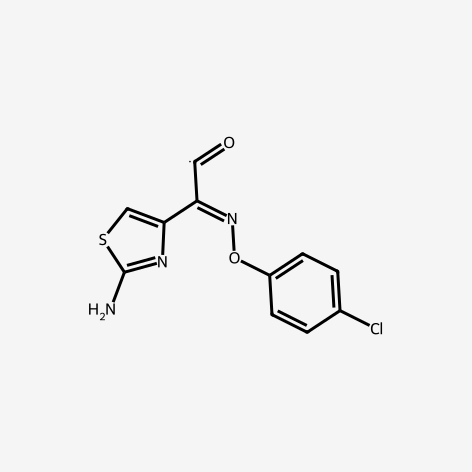 Nc1nc(/C([C]=O)=N\Oc2ccc(Cl)cc2)cs1